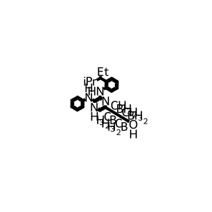 BC(B)(O)C(C)(C)C(B)(B)C(C)(C)c1cnc(Nc2ccccc2)c(Nc2ccccc2C(CC)C(C)C)n1